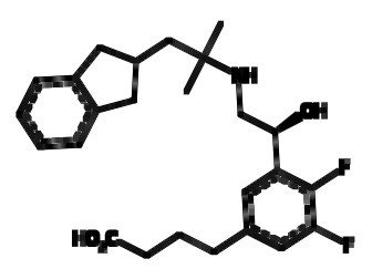 CC(C)(CC1Cc2ccccc2C1)NC[C@@H](O)c1cc(CCCC(=O)O)cc(F)c1F